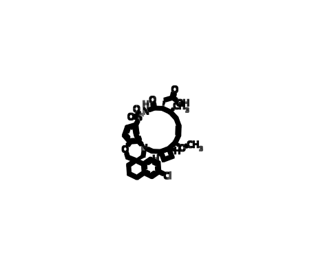 CO[C@@H]1C=CC[C@H](C)[C@@H](CC(=O)O)C(=O)NS(=O)(=O)c2ccc3c(c2)N(C[C@@H]2CC[C@H]21)C[C@@]1(CCCc2cc(Cl)ccc21)CO3